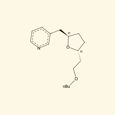 CCCCOCC[C@H]1CC[C@H](Cc2cccnc2)O1